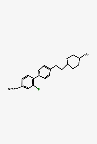 CCCCCc1ccc(-c2ccc(CCC3CCC(CCC)CC3)cc2)c(F)c1